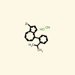 CC(C)c1ccccc1-c1ccccc2[c]([Zr])ccc1-2.Cl.Cl